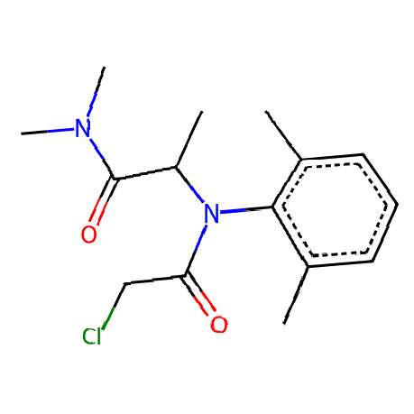 Cc1cccc(C)c1N(C(=O)CCl)C(C)C(=O)N(C)C